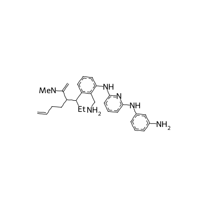 C=CCCC(C(=C)NC)C(CC)c1cccc(Nc2cccc(Nc3cccc(N)c3)n2)c1CN